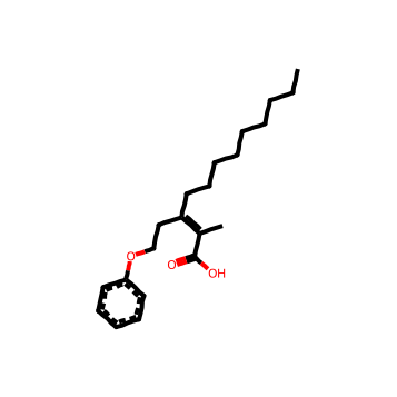 CCCCCCCCCC(CCOc1ccccc1)=C(C)C(=O)O